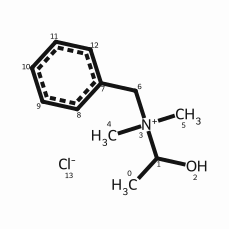 CC(O)[N+](C)(C)Cc1ccccc1.[Cl-]